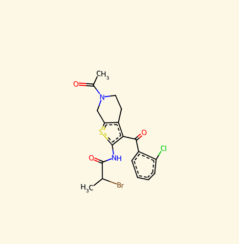 CC(=O)N1CCc2c(sc(NC(=O)C(C)Br)c2C(=O)c2ccccc2Cl)C1